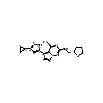 Nc1nc(NC[C@@H]2CCCO2)nn2ccc(-c3cc(C4CC4)n[nH]3)c12